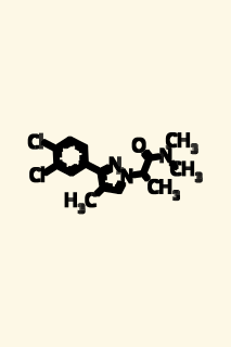 Cc1cn(C(C)C(=O)N(C)C)nc1-c1ccc(Cl)c(Cl)c1